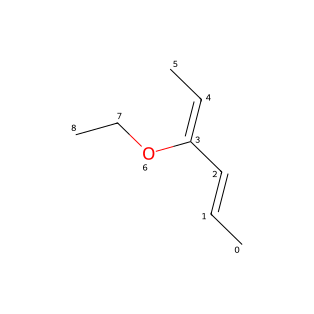 CC=CC(=CC)OCC